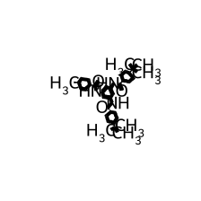 CC(C)(C)[C@H]1CC[C@@H](C(=O)Nc2cc(NC(=O)[C@H]3CC[C@H](C)CC3)cc(NC(=O)[C@H]3CC[C@@H](C(C)(C)C)CC3)c2)CC1